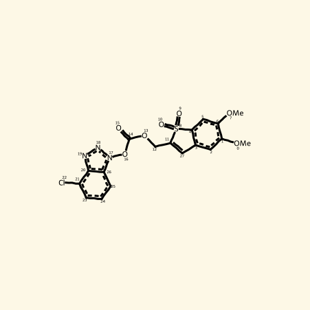 COc1cc2c(cc1OC)S(=O)(=O)C(COC(=O)On1nnc3c(Cl)cccc31)=C2